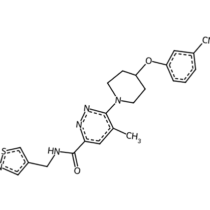 Cc1cc(C(=O)NCc2cnsc2)nnc1N1CCC(Oc2cccc(C#N)c2)CC1